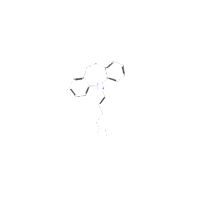 ClCCC=CN1c2ccccc2CCc2ccccc21